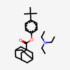 CC(C)(C)c1ccc(OC(=O)C23CC4CC(CC(C4)C2)C3)cc1.CCN(CC)CC